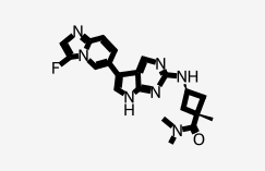 CN(C)C(=O)[C@]1(C)C[C@H](Nc2ncc3c(-c4ccc5ncc(F)n5c4)c[nH]c3n2)C1